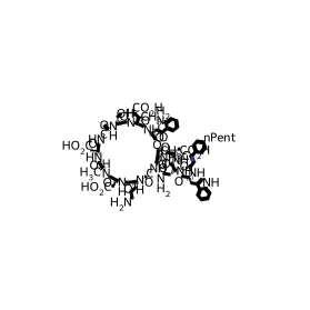 CCCCCc1ccc(/C(C)=C/C(=O)N[C@@H](Cc2c[nH]c3ccccc23)C(=O)N[C@H](CC(N)=O)C(=O)N[C@@H](CC(=O)O)C(=O)N[C@@H]2C(=O)NCC(=O)N[C@@H](CCCN)C(=O)N[C@@H](CC(=O)O)C(=O)N[C@H](C)C(=O)N[C@@H](CC(=O)O)C(=O)NCC(=O)N[C@H](CO)C(=O)NC([C@H](C)CC(=O)O)C(=O)N[C@@H](CC(=O)c3ccccc3N)C(=O)O[C@@H]2C)cc1